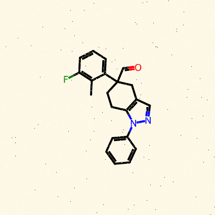 Cc1c(F)cccc1C1(C=O)CCc2c(cnn2-c2ccccc2)C1